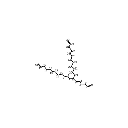 C=CCCC=CC(CCCCCCCCCCC=C)CCCCCCCCCCC=C